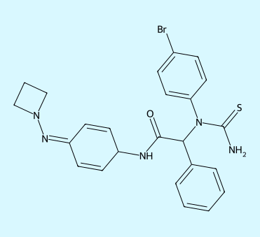 NC(=S)N(c1ccc(Br)cc1)C(C(=O)NC1C=CC(=NN2CCC2)C=C1)c1ccccc1